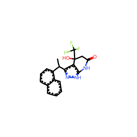 CC(c1n[nH]c2c1C(O)(C(F)(F)F)CC(=O)N2)c1cccc2ccccc12